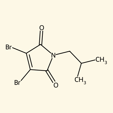 CC(C)CN1C(=O)C(Br)=C(Br)C1=O